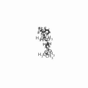 Cc1cccn2c(C(C)(C)NC(=O)[C@H]3[C@@H]4CN(C(=O)OC(C)(C)C)C[C@@H]43)nc(C(F)(F)F)c12